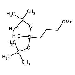 COCCC[Si](C)(O[Si](C)(C)C)O[Si](C)(C)C